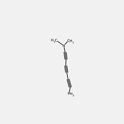 CN(C)C#CC#CC#CP